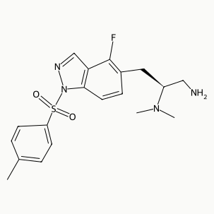 Cc1ccc(S(=O)(=O)n2ncc3c(F)c(C[C@@H](CN)N(C)C)ccc32)cc1